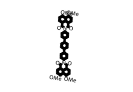 COc1ccc2c3c(ccc(OC)c13)C(=O)N(c1ccc(-c3ccc(-c4ccc(N5C(=O)c6ccc(OC)c7c(OC)ccc(c67)C5=O)cc4)cc3)cc1)C2=O